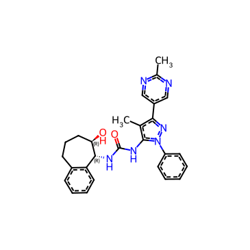 Cc1ncc(-c2nn(-c3ccccc3)c(NC(=O)N[C@@H]3c4ccccc4CCC[C@H]3O)c2C)cn1